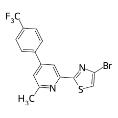 Cc1cc(-c2ccc(C(F)(F)F)cc2)cc(-c2nc(Br)cs2)n1